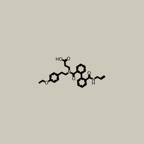 C=CCNC(=O)c1ccccc1-c1ccccc1C(=O)N(CCC(=O)O)CCc1ccc(OCC)cc1